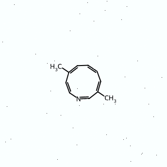 Cc1ccccc(C)cncc1